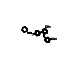 COc1cccc(Cc2ccc(OC)cc2-c2ccc(OCCN3CCCCC3)cc2)c1